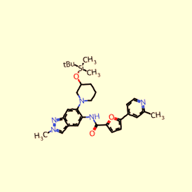 Cc1cc(-c2ccc(C(=O)Nc3cc4cn(C)nc4cc3N3CCCC(O[Si](C)(C)C(C)(C)C)C3)o2)ccn1